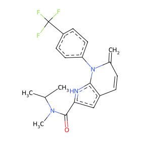 C=C1C=Cc2cc(C(=O)N(C)C(C)C)[nH]c2N1c1ccc(C(F)(F)F)cc1